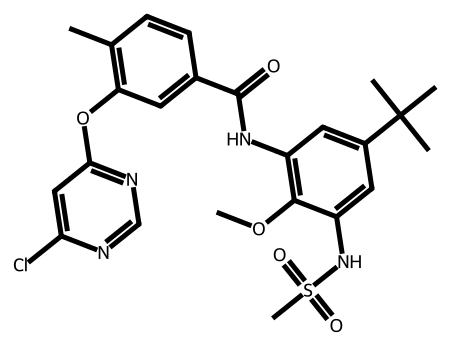 COc1c(NC(=O)c2ccc(C)c(Oc3cc(Cl)ncn3)c2)cc(C(C)(C)C)cc1NS(C)(=O)=O